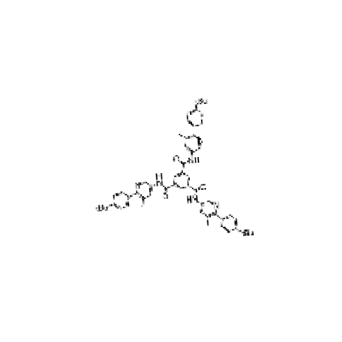 Cc1cc(NC(=O)c2cc(C(=O)Nc3cnc(-c4ccc(C(C)(C)C)cc4)c(C)c3)cc(C(=O)Nc3cnc(-c4ccc(C(C)(C)C)cc4)c(C)c3)c2)cnc1-c1ccc(C(C)(C)C)cc1